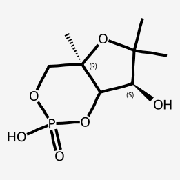 CC1(C)O[C@]2(C)COP(=O)(O)OC2[C@@H]1O